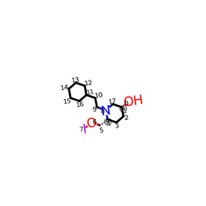 O[C@@H]1CC[C@H](COI)N(CCC2CCCCC2)C1